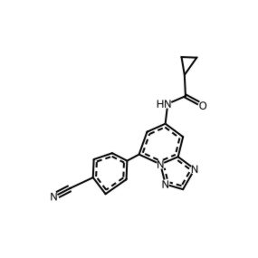 N#Cc1ccc(-c2cc(NC(=O)C3CC3)cc3ncnn23)cc1